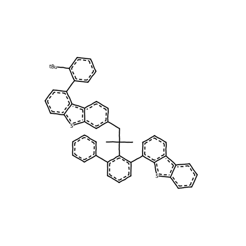 CC(C)(C)c1ccccc1-c1cccc2sc3cc(CC(C)(C)c4c(-c5ccccc5)cccc4-c4cccc5c4sc4ccccc45)ccc3c12